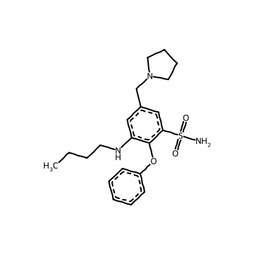 CCCCNc1cc(CN2CCCC2)cc(S(N)(=O)=O)c1Oc1ccccc1